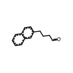 O=[C]CCCc1ccc2ccccc2c1